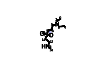 CCN(CC)C/C=C/S(=O)(=O)CCNC